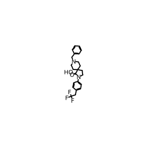 O=C1N(c2ccc(CC(F)(F)F)cc2)CCC12CCN(Cc1ccccc1)CC2O